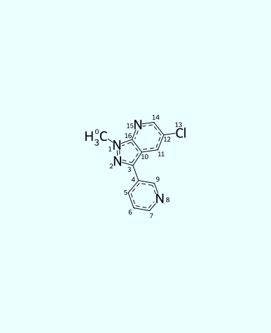 Cn1nc(-c2cccnc2)c2cc(Cl)cnc21